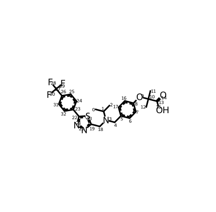 CC(C)N(Cc1ccc(OC(C)(C)C(=O)O)cc1)Cc1nnc(-c2ccc(C(F)(F)F)cc2)s1